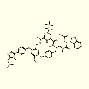 CCc1ccc(CNC(C)C(=O)NC(CO[Si](C)(C)C(C)(C)C)C(=O)N(C)C(Cc2ccc(Cl)cc2)CN(C)C(=O)C(CC(=O)O)[C@@H]2CCc3ccccc32)c(Oc2ccc(-c3cnc(CN(C)C)n3C)cc2)c1